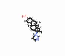 CC1=C(N2C=CC=NC2)[C@@]2(C)CC[C@H]3[C@@H]([C@@H](C)C=C4C[C@@H](O)CC[C@@]43C)[C@@H]2C1